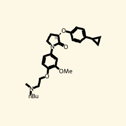 CCCCN(C)CCOc1ccc(N2CC[C@H](Oc3ccc(C4CC4)cc3)C2=O)cc1OC